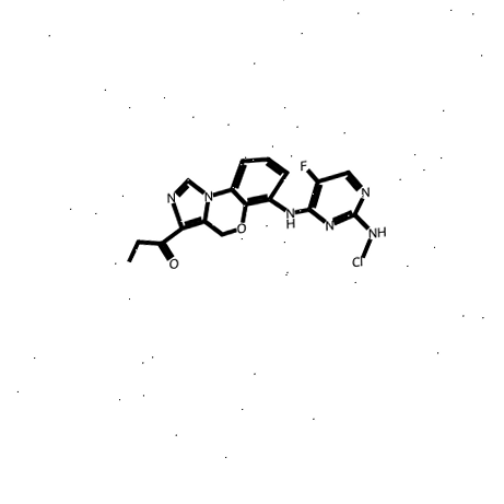 CCC(=O)c1ncn2c1COc1c(Nc3nc(NCl)ncc3F)cccc1-2